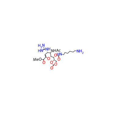 COC(=O)C1=C[C@H](NC(=N)N)[C@@H](NC(C)=O)[C@H]([C@H](OC(=O)NCCCCCCN)[C@H]2COC(=O)O2)O1